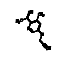 C#CCOc1cnc(C(C)=N)c(C)c1